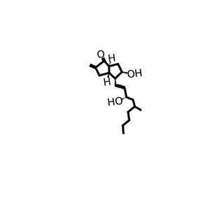 C=C1C[C@H]2[C@H](/C=C/[C@@H](O)CC(C)CCCC)[C@H](O)C[C@@H]2C1=O